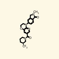 CN1Cc2cc(N3CCOc4cc(C(=O)N5CCC[C@H](C(F)(F)F)C5)cnc43)ccc2C1=O